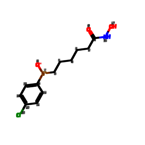 O=C(CCCCC[S+]([O-])c1ccc(Cl)cc1)NO